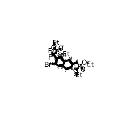 CCOP(=O)(Cc1ccc2cc(Br)c(C(F)(F)P(=O)(OCC)OCC)cc2c1)OCC